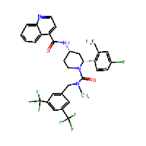 Cc1cc(F)ccc1[C@H]1C[C@@H](NC(=O)c2ccnc3ccccc23)CCN1C(=O)N(C)Cc1cc(C(F)(F)F)cc(C(F)(F)F)c1